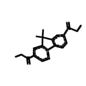 CCNc1ccc2c(c1)C(C)(C)c1cc(NCC)ccc1-2